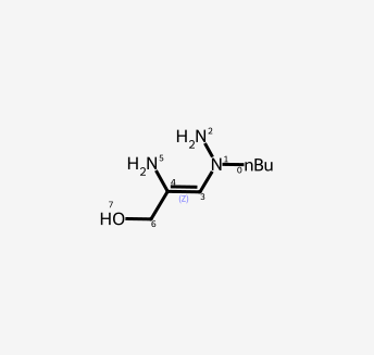 CCCCN(N)/C=C(\N)CO